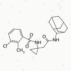 Cc1c(Cl)cccc1S(=O)(=O)NC1(CC(=O)NC2C3CC4CC(C3)CC2C4)CC1